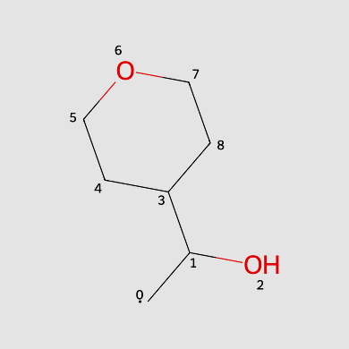 [CH2]C(O)C1CCOCC1